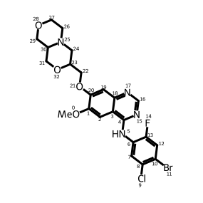 COc1cc2c(Nc3cc(Cl)c(Br)cc3F)ncnc2cc1OCC1CN2CCOCC2CO1